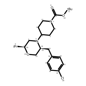 CC(C)[C@H]1CN(C2CCN(C(=O)OC(C)(C)C)CC2)[C@@H](Cc2ccc(Cl)cc2)CO1